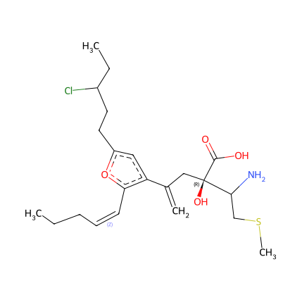 C=C(C[C@](O)(C(=O)O)C(N)CSC)c1cc(CCC(Cl)CC)oc1/C=C\CCC